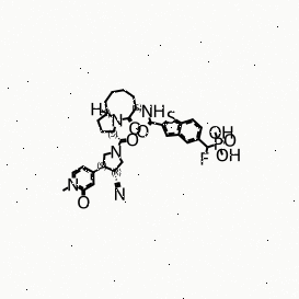 Cn1ccc([C@H]2CN(C(=O)[C@@H]3CC[C@@H]4CCCC[C@H](NC(=O)c5cc6cc(C(F)P(=O)(O)O)ccc6s5)C(=O)N43)C[C@@H]2C#N)cc1=O